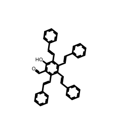 O=Cc1c(O)c(C=Cc2ccccc2)c(C=Cc2ccccc2)c(C=Cc2ccccc2)c1C=Cc1ccccc1